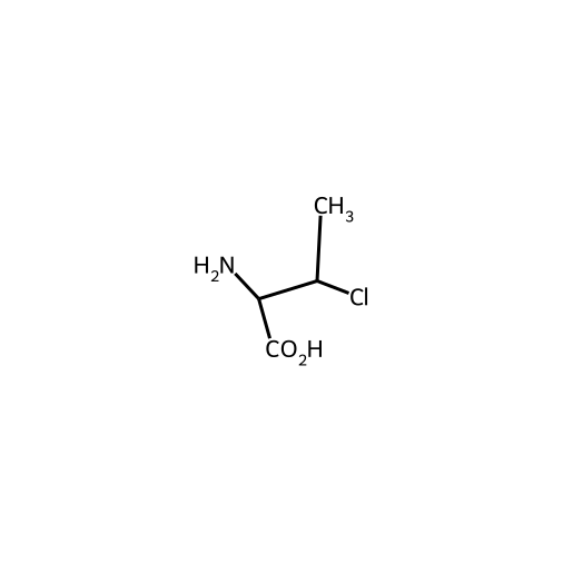 CC(Cl)C(N)C(=O)O